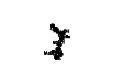 COC(=O)C[C@@H]1N=C(c2ccc(-c3ccc(OCC(=O)NC(C(=O)N4C[C@H](O)C[C@H]4C(=O)NCc4ccc(-c5scnc5C)cc4)C(C)(C)C)c(C#N)c3)cc2)c2c(sc(C)c2C)-n2c(C)nnc21